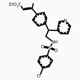 CCOC(=O)C=C(C)c1ccc(C(CNS(=O)(=O)c2ccc(Cl)cc2)c2cccnc2)cc1